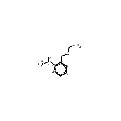 CCOCc1[c]ccnc1NC